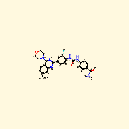 COc1ccc2c(N3CCOCC3)nc(-c3ccc(NC(=O)Nc4ccc(C(=O)N(C)C)cc4)c(F)c3)nc2c1